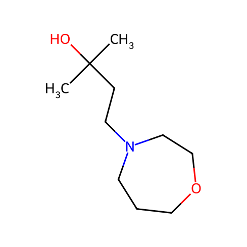 CC(C)(O)CCN1CCCOCC1